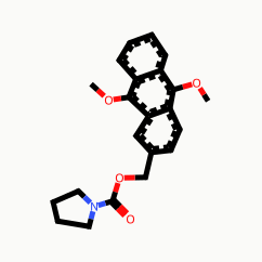 COc1c2ccccc2c(OC)c2cc(COC(=O)N3CCCC3)ccc12